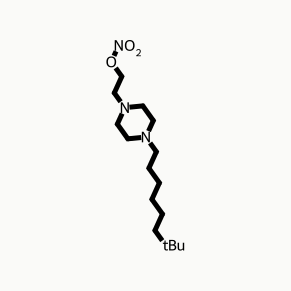 CC(C)(C)CCCCCCN1CCN(CCO[N+](=O)[O-])CC1